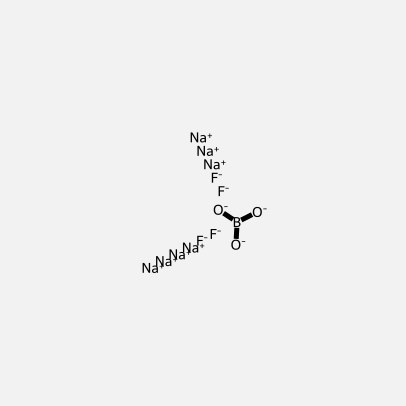 [F-].[F-].[F-].[F-].[Na+].[Na+].[Na+].[Na+].[Na+].[Na+].[Na+].[O-]B([O-])[O-]